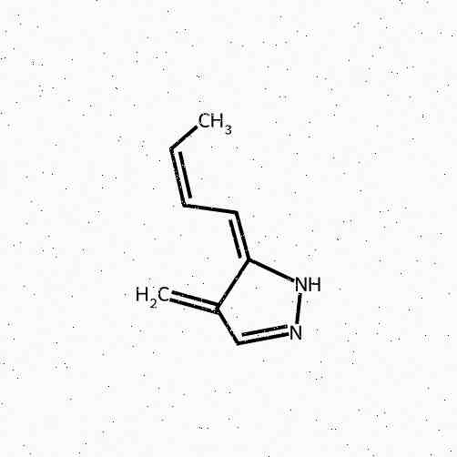 C=c1cn[nH]/c1=C/C=C\C